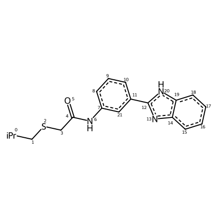 CC(C)CSCC(=O)Nc1cccc(-c2nc3ccccc3[nH]2)c1